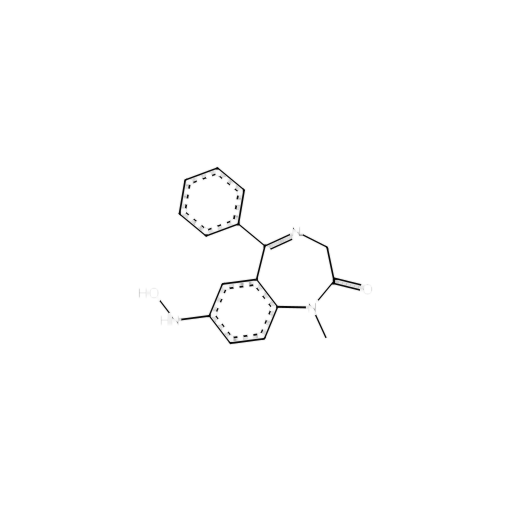 CN1C(=O)CN=C(c2ccccc2)c2cc(NO)ccc21